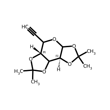 C#CC1OC2OC(C)(C)O[C@H]2C2OC(C)(C)O[C@H]12